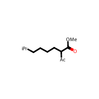 COC(=O)C(CCCCC(C)C)C(C)=O